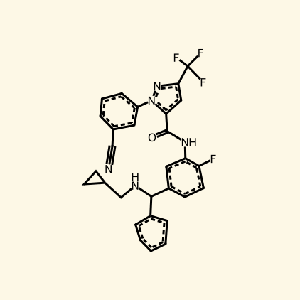 N#Cc1cccc(-n2nc(C(F)(F)F)cc2C(=O)Nc2cc(C(NCC3CC3)c3ccccc3)ccc2F)c1